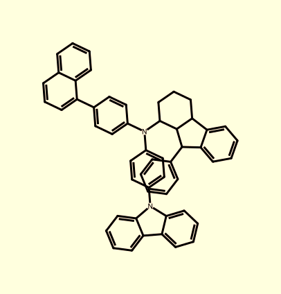 c1ccc(C2c3ccccc3C3CCCC(N(c4ccc(-c5cccc6ccccc56)cc4)c4ccc(-n5c6ccccc6c6ccccc65)cc4)C32)cc1